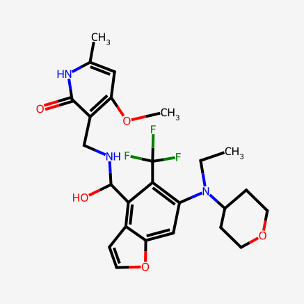 CCN(c1cc2occc2c(C(O)NCc2c(OC)cc(C)[nH]c2=O)c1C(F)(F)F)C1CCOCC1